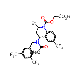 CC[C@@H]1CC(N(Cc2cc(C(F)(F)F)cc(C(F)(F)F)c2)C(=O)OC)c2cc(C(F)(F)F)ccc2N1C(=O)OCC(=O)O